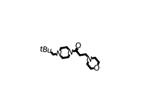 CC(C)(C)CN1CCN(C(=O)CCN2CCOCC2)CC1